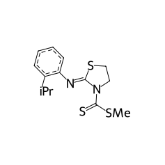 CSC(=S)N1CCS/C1=N\c1ccccc1C(C)C